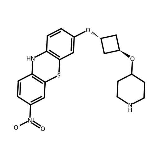 O=[N+]([O-])c1ccc2c(c1)Sc1cc(O[C@H]3C[C@H](OC4CCNCC4)C3)ccc1N2